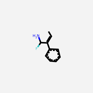 CC=C(c1ccccc1)C(N)F